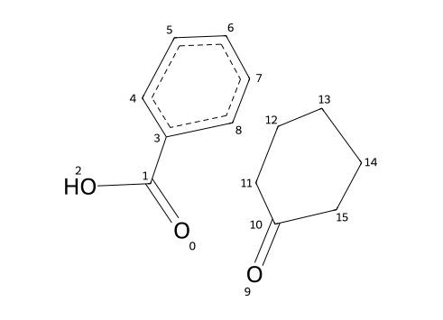 O=C(O)c1ccccc1.O=C1CCCCC1